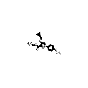 CCOC(=O)c1nn(-c2ccc(OC)cc2)cc1OCC1CC1